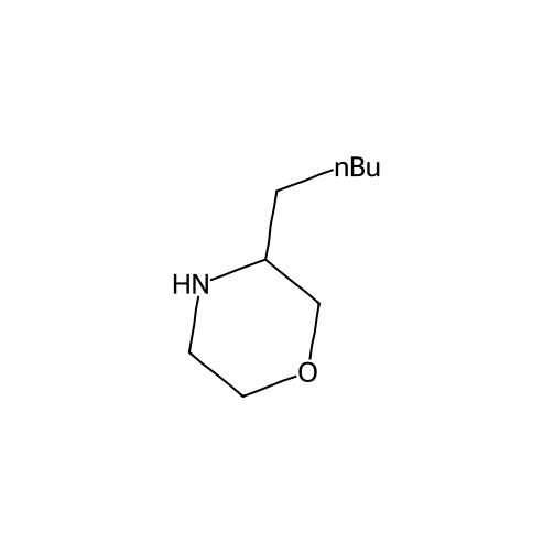 CCCCCC1COCCN1